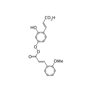 COc1ccccc1/C=C/C(=O)OOc1ccc(/C=C/C(=O)O)c(O)c1